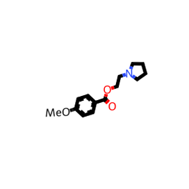 COc1ccc(C(=O)OCCN2CCCC2)cc1